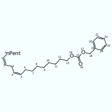 CCCCC/C=C\C/C=C\CCCCCCCCOC(=O)OCc1ccccc1